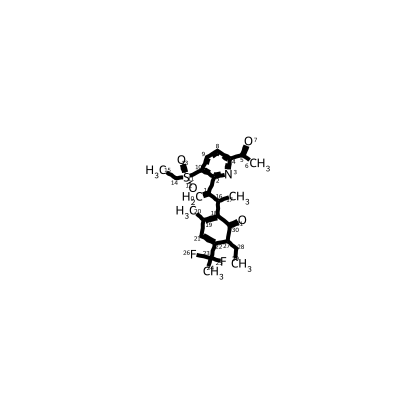 C=C(c1nc(C(C)=O)ccc1S(=O)(=O)CC)C(C)C1=C(C)C=C(C(C)(F)F)C(CC)C1=O